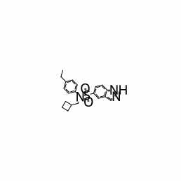 CCc1ccc(N(CC2CCC2)S(=O)(=O)c2ccc3[nH]ncc3c2)cc1